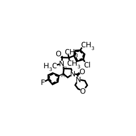 Cc1cc(Cl)cc(C(C)(C)C(=O)N(C)[C@@H]2CN(C(=O)N3CCOCC3)C[C@H]2c2ccc(F)cc2)c1